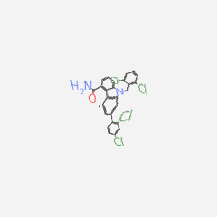 NC(=O)c1cccc2c1c1[c]cc(-c3ccc(Cl)cc3Cl)cc1n2Cc1c(Cl)cccc1Cl